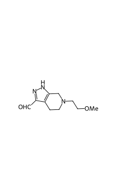 COCCN1CCc2c(C=O)n[nH]c2C1